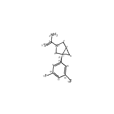 NC(=S)N1CC2C[C@]2(c2cc(F)cc(F)c2)C1